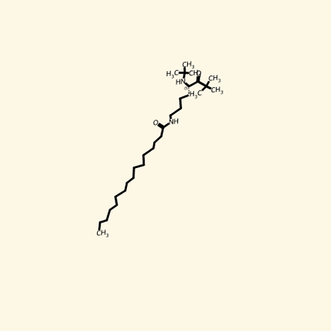 CCCCCCCCCCCCCCCC(=O)NCCCC[C@H](NC(C)(C)C)C(=O)C(C)(C)C